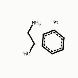 NCCO.[Pt].c1ccccc1